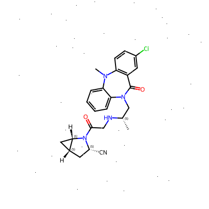 C[C@@H](CN1C(=O)c2cc(Cl)ccc2N(C)c2ccccc21)NCC(=O)N1[C@H](C#N)C[C@@H]2C[C@@H]21